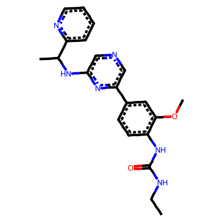 CCNC(=O)Nc1ccc(-c2cncc(NC(C)c3ccccn3)n2)cc1OC